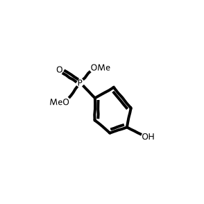 COP(=O)(OC)c1ccc(O)cc1